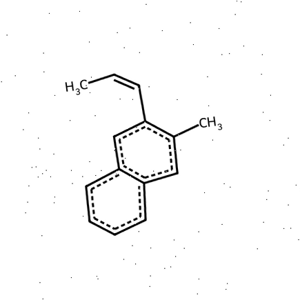 C/C=C\c1cc2ccccc2cc1C